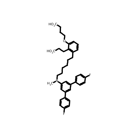 CN(CCCCCCc1cccc(OCCCC(=O)O)c1CCC(=O)O)c1cc(-c2ccc(F)cc2)cc(-c2ccc(F)cc2)c1